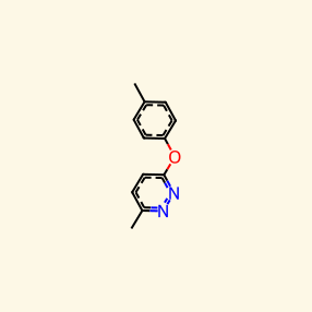 Cc1ccc(Oc2ccc(C)nn2)cc1